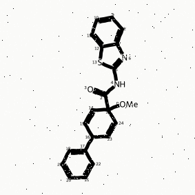 COC1(C(=O)Nc2nc3ccccc3s2)C=CC(c2ccccc2)C=C1